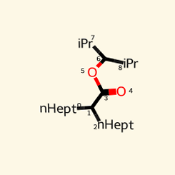 CCCCCCCC(CCCCCCC)C(=O)OC(C(C)C)C(C)C